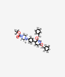 C[C@@H]1CN(C(=O)OC(C)(C)C)CCN1c1ccc(-c2ccc(OCc3ccccc3)nc2OCc2ccccc2)cc1